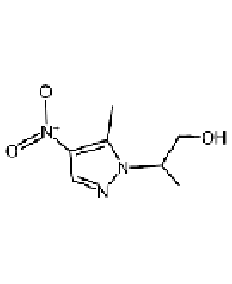 Cc1c([N+](=O)[O-])cnn1C(C)CO